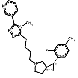 Cc1ccc([C@@H]2C[C@@]23CCN(CCCSc2nnc(-c4cccnc4)n2C)C3)c(F)c1